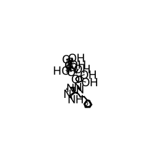 Nc1ncnc2c1c(CCc1ccccc1)nn2[C@@H]1O[C@H](C(O)OP(=O)(O)OP(=O)(O)O)[C@@H](O)[C@H]1O